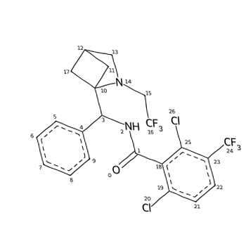 O=C(NC(c1ccccc1)C12CC(CN1CC(F)(F)F)C2)c1c(Cl)ccc(C(F)(F)F)c1Cl